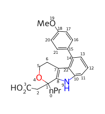 CCCC1(CC(=O)O)OCCc2c1[nH]c1cccc(-c3ccc(OC)cc3)c21